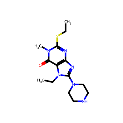 CCSc1nc2nc(N3CCNCC3)n(CC)c2c(=O)n1C